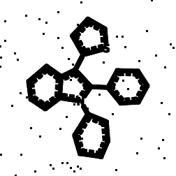 c1ccc(-c2c(-c3cccs3)c3ccccc3n2-c2ccccc2)cc1